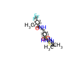 CCc1cc(C(F)(F)F)ccc1C(=O)NCCc1ccc(S(=O)(=O)Nc2nnc(C(C)C)s2)cc1